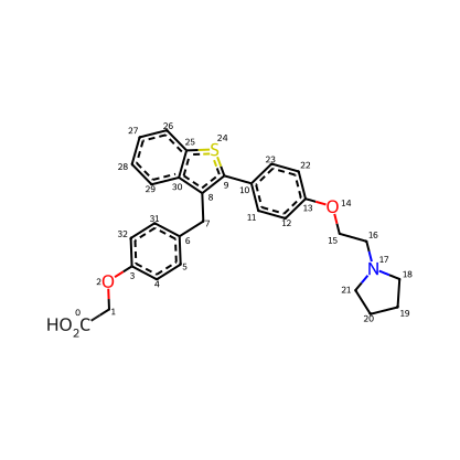 O=C(O)COc1ccc(Cc2c(-c3ccc(OCCN4CCCC4)cc3)sc3ccccc23)cc1